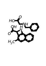 Cc1cc2ccccc2c2c1C(C(=O)O)N2.O=C(O)CNCc1ccccc1